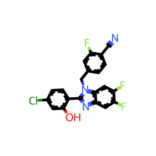 N#Cc1ccc(Cn2c(-c3ccc(Cl)cc3O)nc3cc(F)c(F)cc32)cc1F